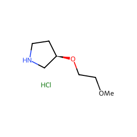 COCCO[C@@H]1CCNC1.Cl